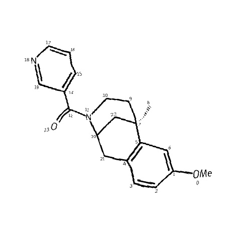 COc1ccc2c(c1)[C@]1(C)CCN(C(=O)c3cccnc3)C(C2)C1